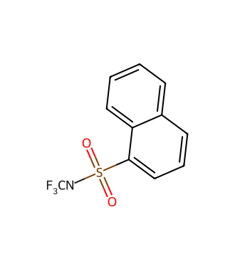 O=S(=O)(NC(F)(F)F)c1cccc2ccccc12